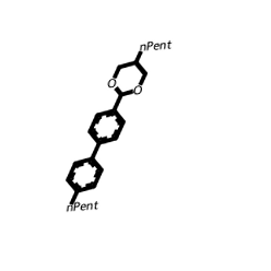 CCCCCc1ccc(-c2ccc(C3OCC(CCCCC)CO3)cc2)cc1